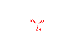 OB(O)O.[Cr]